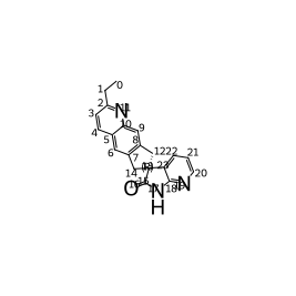 CCc1ccc2cc3c(cc2n1)C[C@@]1(C3)C(=O)Nc2ncccc21